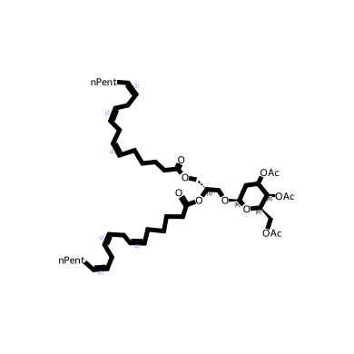 CCCCC/C=C\C/C=C\C/C=C\CCCCC(=O)OC[C@H](CO[C@H]1CC(OC(C)=O)[C@@H](OC(C)=O)[C@@H](COC(C)=O)O1)OC(=O)CCCC/C=C\C/C=C\C/C=C\CCCCC